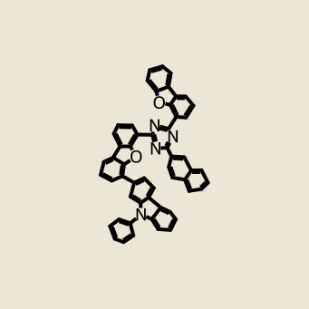 c1ccc(-n2c3ccccc3c3ccc(-c4cccc5c4oc4c(-c6nc(-c7ccc8ccccc8c7)nc(-c7cccc8c7oc7ccccc78)n6)cccc45)cc32)cc1